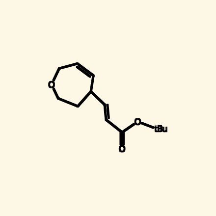 CC(C)(C)OC(=O)C=CC1C=CCOCC1